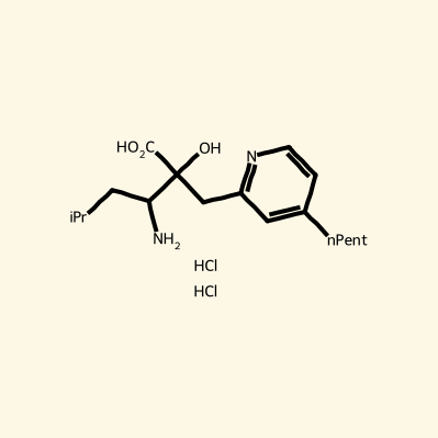 CCCCCc1ccnc(CC(O)(C(=O)O)C(N)CC(C)C)c1.Cl.Cl